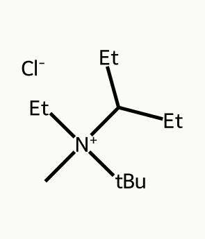 CCC(CC)[N+](C)(CC)C(C)(C)C.[Cl-]